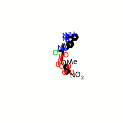 CCCCc1nc(Cl)c(C(=O)OCOP(=O)(OC)O[C@H]2COC3C2OC[C@H]3O[N+](=O)[O-])n1Cc1ccc(-c2ccccc2-c2nnn[nH]2)cc1